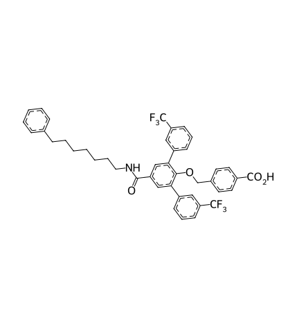 O=C(O)c1ccc(COc2c(-c3cccc(C(F)(F)F)c3)cc(C(=O)NCCCCCCCc3ccccc3)cc2-c2cccc(C(F)(F)F)c2)cc1